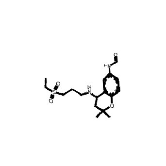 CCS(=O)(=O)CCCNC1CC(C)(C)Oc2ccc(NC=O)cc21